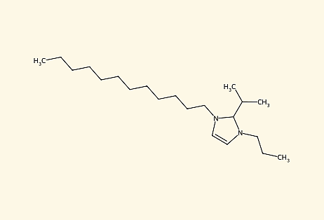 CCCCCCCCCCCCN1C=CN(CCC)C1C(C)C